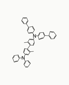 Cc1cc(N(c2ccccc2)c2ccccc2)ccc1-c1ccc(N(c2ccc(-c3ccccc3)cc2)c2ccc(-c3ccccc3)cc2)cc1C